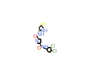 O=C(NCc1ccc(Cl)c(Cl)c1)c1ccc(C(=O)NC[C@@H]2C[C@H](S)CN2)nc1